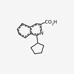 O=C(O)c1cc2ccccc2c(C2CCCC2)n1